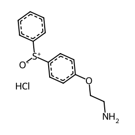 Cl.NCCOc1ccc([S+]([O-])c2ccccc2)cc1